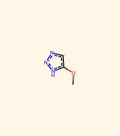 COc1[c]nn[nH]1